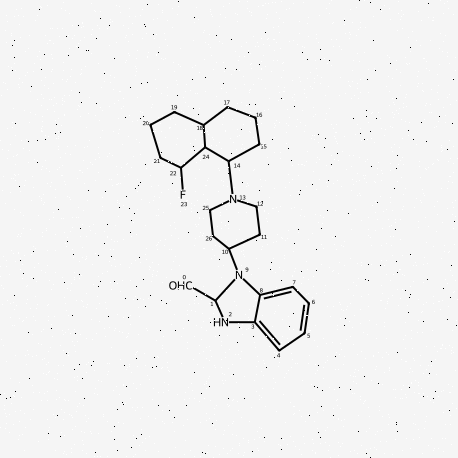 O=CC1Nc2ccccc2N1C1CCN(C2CCCC3CCCC(F)C32)CC1